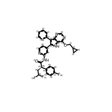 O=C(Nc1cc(-c2[nH]c3c(OCC4CC4)ncnc3c2-c2ccccn2)ccn1)[C@H](CC(F)F)c1ccc(F)cc1